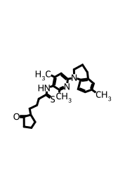 Cc1ccc2c(c1)CCCN2c1cc(C)c(NC(=S)CCCC2CCCC2=O)c(C)n1